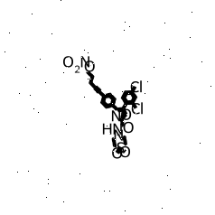 O=C(NN1CCS(=O)(=O)CC1)c1nc(-c2ccc(C#CCCCO[N+](=O)[O-])cc2)c(-c2ccc(Cl)cc2Cl)o1